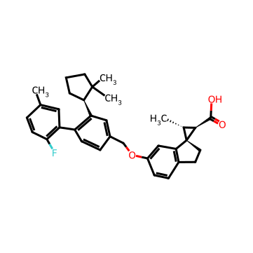 Cc1ccc(F)c(-c2ccc(COc3ccc4c(c3)[C@]3(CC4)[C@H](C)[C@H]3C(=O)O)cc2[C@H]2CCCC2(C)C)c1